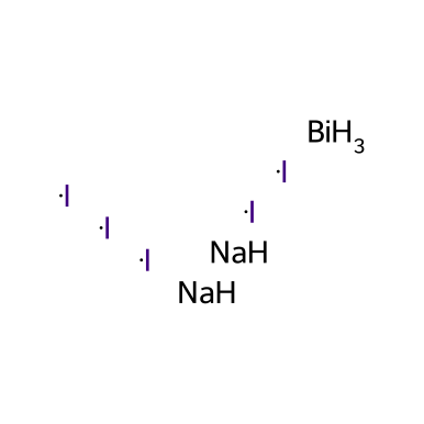 [BiH3].[I].[I].[I].[I].[I].[NaH].[NaH]